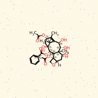 CC(=O)O[C@H]1C[C@@]2(O)[C@@H](OC(=O)c3ccccc3)[C@@H]3[C@]4(OC(C)=O)CO[C@@H]4C[C@H](O)[C@@]3(C)[C@@H](O)[C@H](O)C(=C1C)C2(C)C